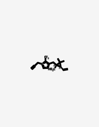 C#CCn1ccc(C[C@@]2(C(=O)O)[C@H](C=C)C2(C)C)c1C(F)(F)F